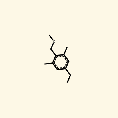 CCc1cc(C)c(COC)c(C)c1